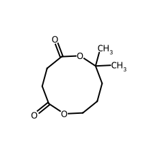 CC1(C)CCCOC(=O)CCC(=O)O1